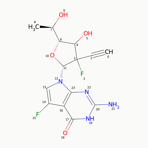 C#CC1(F)C(O)[C@@H]([C@@H](C)O)O[C@H]1n1cc(F)c2c(=O)[nH]c(N)nc21